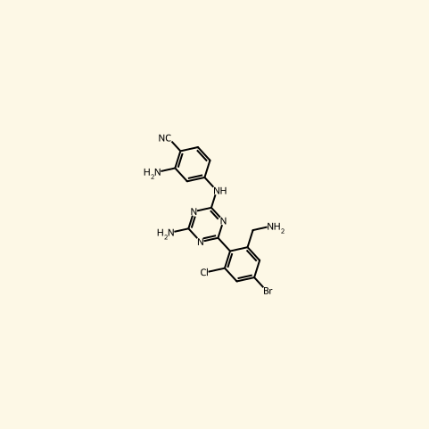 N#Cc1ccc(Nc2nc(N)nc(-c3c(Cl)cc(Br)cc3CN)n2)cc1N